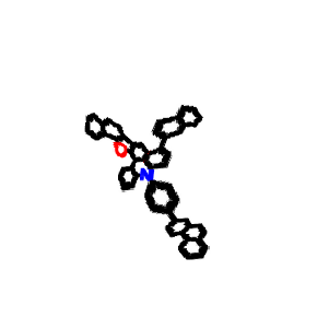 c1ccc(N(c2ccc(-c3ccc4ccccc4c3)cc2)c2ccc(-c3ccc4c(ccc5ccccc54)c3)cc2)c(-c2cccc3c2oc2c4ccccc4ccc32)c1